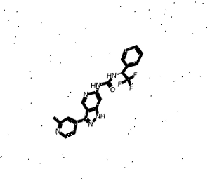 Cc1cc(-c2n[nH]c3cc(NC(=O)N[C@H](c4ccccc4)C(F)(F)F)ncc23)ccn1